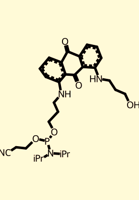 CC(C)N(C(C)C)P(OCCC#N)OCCCNc1cccc2c1C(=O)c1c(NCCCO)cccc1C2=O